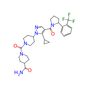 NC(=O)C1CCN(C(=O)N2CCC(n3ncc(C(=O)N4CCCC4c4ccccc4C(F)(F)F)c3C3CC3)CC2)CC1